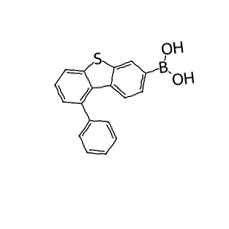 OB(O)c1ccc2c(c1)sc1cccc(-c3ccccc3)c12